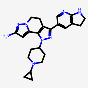 Nc1cc2n(n1)CCc1c(-c3cnc4c(c3)CCN4)nn(C3CCN(C4CC4)CC3)c1-2